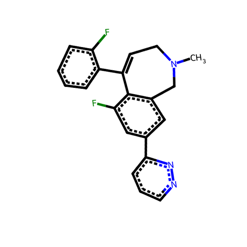 CN1CC=C(c2ccccc2F)c2c(F)cc(-c3cccnn3)cc2C1